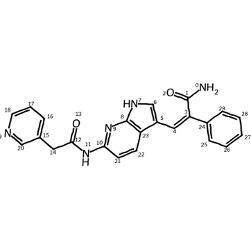 NC(=O)/C(=C\c1c[nH]c2nc(NC(=O)Cc3cccnc3)ccc12)c1ccccc1